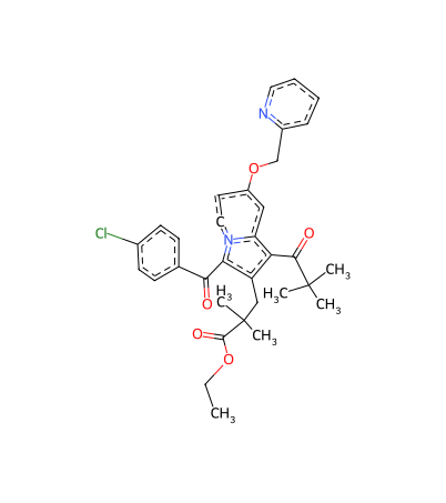 CCOC(=O)C(C)(C)Cc1c(C(=O)C(C)(C)C)c2cc(OCc3ccccn3)ccn2c1C(=O)c1ccc(Cl)cc1